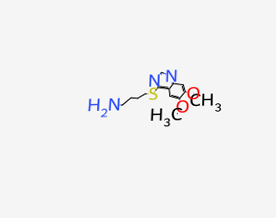 COc1cc2ncnc(SCCCCN)c2cc1OC